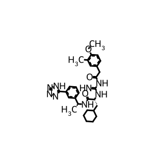 COc1ccc(CC(=O)NC(=N)N[C@H](CC2CCCCC2)C(=O)N[C@@H](C)c2cccc(-c3nnn[nH]3)c2)cc1C